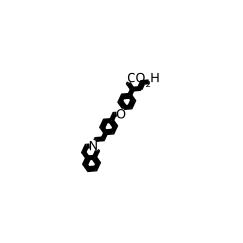 CC=CC(CC(=O)O)c1ccc(OCc2ccc(CCN3CCc4ccccc4C3)cc2)cc1